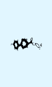 O=C(O)C(=O)c1ccc(-c2ccccc2)cc1